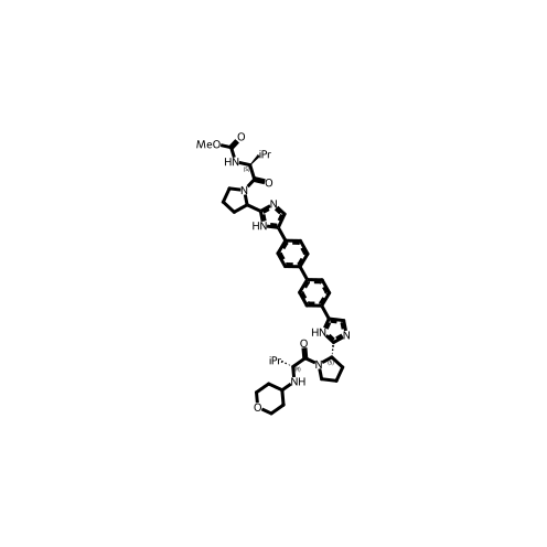 COC(=O)N[C@H](C(=O)N1CCCC1c1ncc(-c2ccc(-c3ccc(-c4cnc([C@@H]5CCCN5C(=O)[C@H](NC5CCOCC5)C(C)C)[nH]4)cc3)cc2)[nH]1)C(C)C